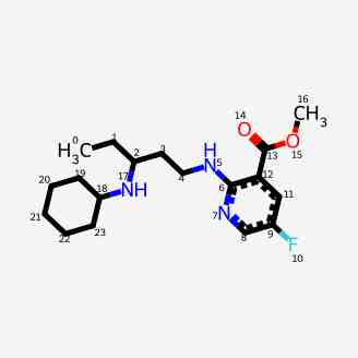 CCC(CCNc1ncc(F)cc1C(=O)OC)NC1CCCCC1